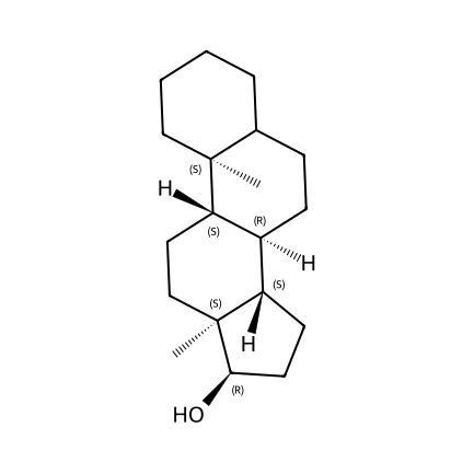 C[C@]12CC[C@H]3[C@@H](CCC4CCCC[C@@]43C)[C@@H]1CC[C@H]2O